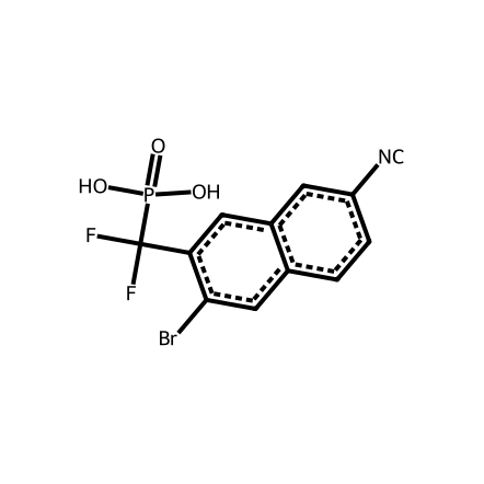 [C-]#[N+]c1ccc2cc(Br)c(C(F)(F)P(=O)(O)O)cc2c1